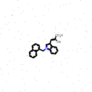 N#C/C(=C\c1cn(Cc2cccc3ccccc23)c2ccccc12)C(=O)O